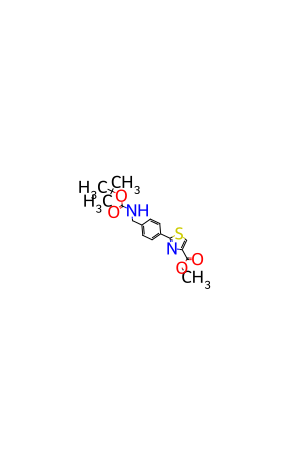 COC(=O)c1csc(-c2ccc(CNC(=O)OC(C)(C)C)cc2)n1